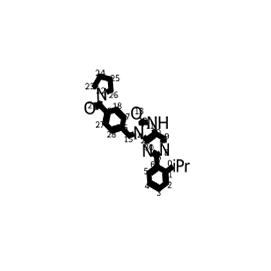 CC(C)c1ccccc1-c1ncc2[nH]c(=O)n(Cc3ccc(C(=O)N4CCCC4)cc3)c2n1